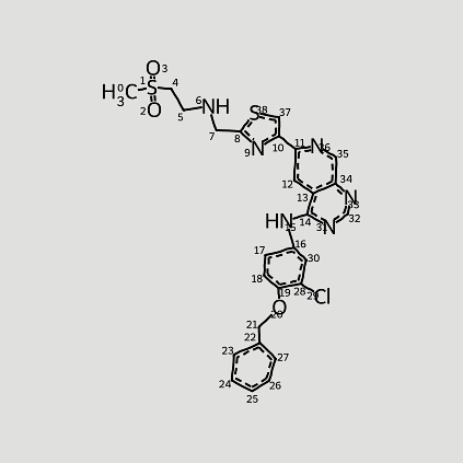 CS(=O)(=O)CCNCc1nc(-c2cc3c(Nc4ccc(OCc5ccccc5)c(Cl)c4)ncnc3cn2)cs1